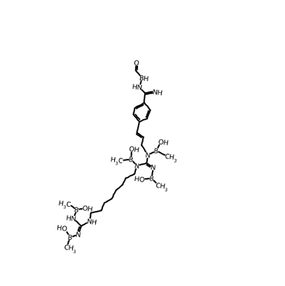 CB(O)/N=C(/NCCCCCCCCN(B(C)O)/C(=N\B(C)O)N(C/C=C/c1ccc(C(=N)NBC=O)cc1)B(C)O)NB(C)O